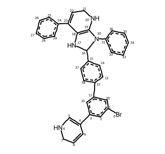 Brc1cc(C2=CNCC=C2)cc(-c2ccc(C3NC4=C(NCC=C4c4ccccc4)N3c3ccccc3)cc2)c1